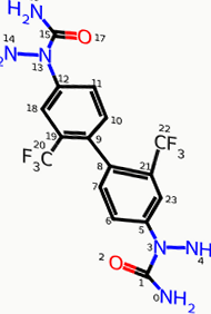 NC(=O)N(N)c1ccc(-c2ccc(N(N)C(N)=O)cc2C(F)(F)F)c(C(F)(F)F)c1